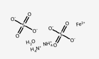 O.O=S(=O)([O-])[O-].O=S(=O)([O-])[O-].[Fe+2].[NH4+].[NH4+]